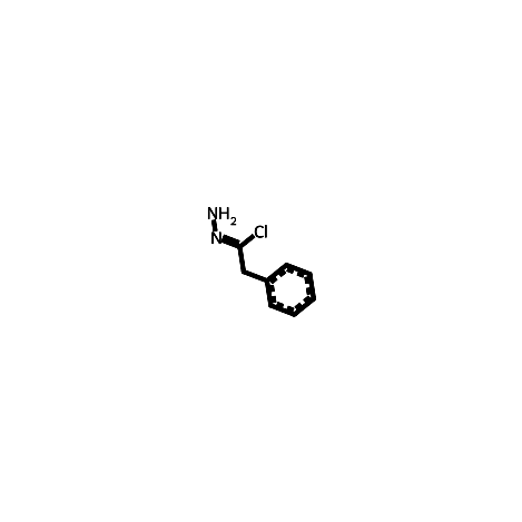 NN=C(Cl)Cc1ccccc1